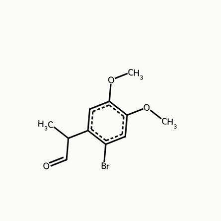 COc1cc(Br)c(C(C)C=O)cc1OC